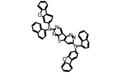 c1ccc2c(N(c3ccc4c(c3)oc3ccccc34)c3cc4sc5nc(N(c6ccc7c(c6)oc6ccccc67)c6cccc7ccccc67)ncc5c4nn3)cccc2c1